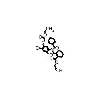 C#CCOC(=O)C1=C(C(=O)N(C(=O)c2ccccc2)c2cc(SCC(=O)OCC)c(Cl)cc2F)CCCC1